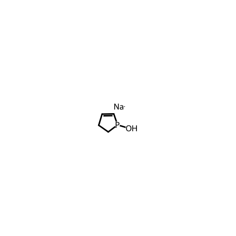 OP1C=CCC1.[Na]